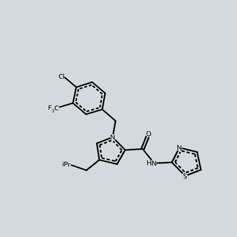 CC(C)Cc1cc(C(=O)Nc2nccs2)n(Cc2ccc(Cl)c(C(F)(F)F)c2)c1